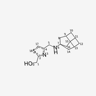 OCc1nc(CNC23CC4CC5CC(C2)C54C3)cs1